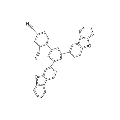 N#Cc1ccc(-c2cc(-c3ccc4c(c3)oc3ccccc34)cc(-c3ccc4oc5ccccc5c4c3)c2)c(C#N)c1